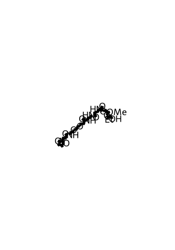 CCC(CO)OC(COC(=O)NCCC(=O)NCCNC(=O)CCOCCOCCNC(=O)CCN1C(=O)C(C)C(C)C1=O)OC